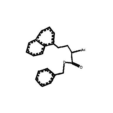 CC(=O)C(CCc1cccc2ccccc12)C(=O)OCc1ccccc1